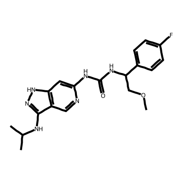 COCC(NC(=O)Nc1cc2[nH]nc(NC(C)C)c2cn1)c1ccc(F)cc1